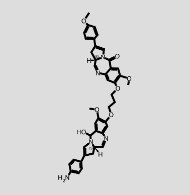 COc1ccc(C2=CN3C(=O)c4cc(OC)c(OCCCOc5cc6c(cc5OC)C(O)N5C=C(c7ccc(N)cc7)C[C@H]5C=N6)cc4N=C[C@@H]3C2)cc1